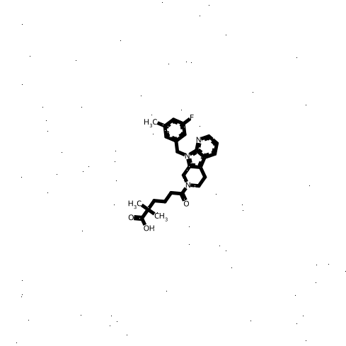 Cc1cc(F)cc(Cn2c3c(c4cccnc42)CCN(C(=O)CCCC(C)(C)C(=O)O)C3)c1